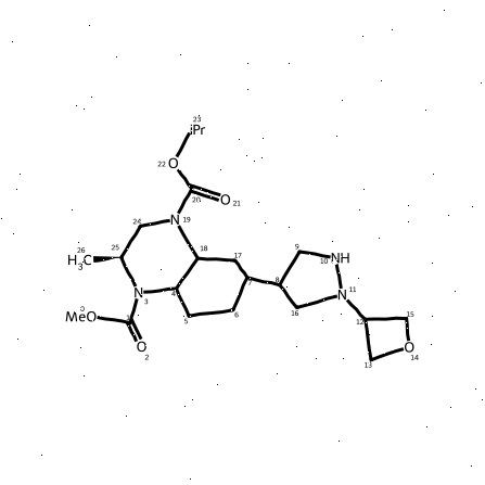 COC(=O)N1C2CCC(C3CNN(C4COC4)C3)CC2N(C(=O)OC(C)C)C[C@@H]1C